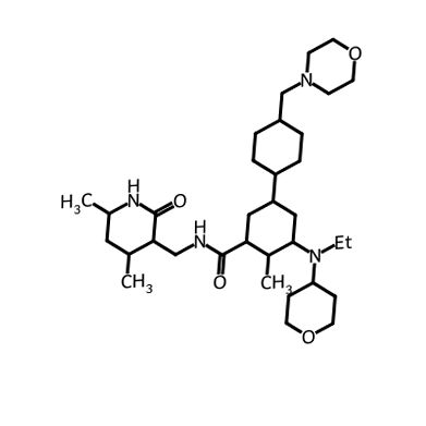 CCN(C1CCOCC1)C1CC(C2CCC(CN3CCOCC3)CC2)CC(C(=O)NCC2C(=O)NC(C)CC2C)C1C